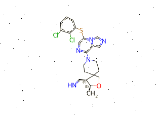 C[C@@H]1OCC2(CCN(c3ncc(Sc4cccc(Cl)c4Cl)n4cncc34)CC2)[C@@H]1C=N